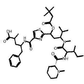 CCC(C)C(NC(=O)[C@H]1CCCCN1C)C(=O)N(C)C(CC(OC(=O)CC(C)(C)C)c1nc(C(=O)NC(Cc2ccccc2)CC(C)C(=O)O)cs1)C(C)C